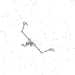 CCCCCCCC/C=C\CCCCCCCCOCC[N+](CCOCCCCCCCC/C=C\CCCCCCCC)C(=O)CCN(C)C